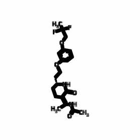 CC(=O)N/C(C)=C1/CC[C@H](CCOc2cccc(OCC(C)(F)F)c2)NC1=O